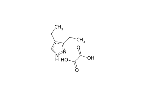 CCc1c[nH]nc1CC.O=C(O)C(=O)O